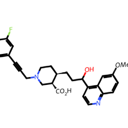 COc1ccc2nccc(C(O)CC[C@@H]3CCN(CC#Cc4cc(F)ccc4F)C[C@@H]3C(=O)O)c2c1